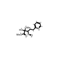 COC(=O)C(O)(OC)C(CCc1ccccn1)P=O